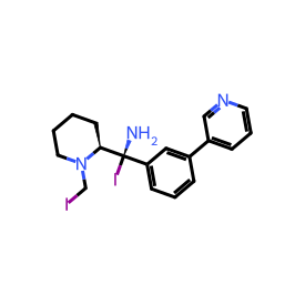 N[C@](I)(c1cccc(-c2cccnc2)c1)[C@@H]1CCCCN1CI